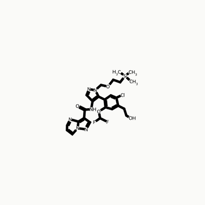 C[Si](C)(C)CCOCn1ncc(NC(=O)c2cnn3cccnc23)c1-c1cc(Cl)c(CCO)cc1OC(F)F